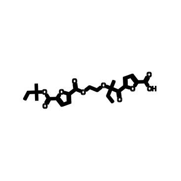 CCC(C)(C)OC(=O)c1ccc(C(=O)OCCOC(C)(CC)C(=O)c2ccc(C(=O)O)o2)o1